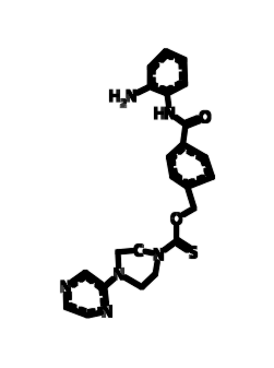 Nc1ccccc1NC(=O)c1ccc(COC(=S)N2CCN(c3cnccn3)CC2)cc1